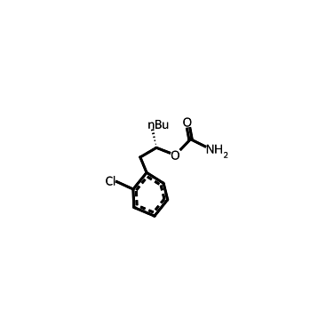 CCCC[C@@H](Cc1ccccc1Cl)OC(N)=O